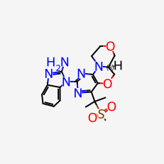 CC(C)(c1nc(-n2c(N)nc3ccccc32)nc2c1OC[C@@H]1COCCN21)S(C)(=O)=O